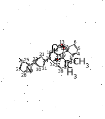 CC1(C)c2ccccc2C2(c3ccccc3Oc3cc(-c4ccc(-c5ccccn5)cc4)ccc32)c2ccccc21